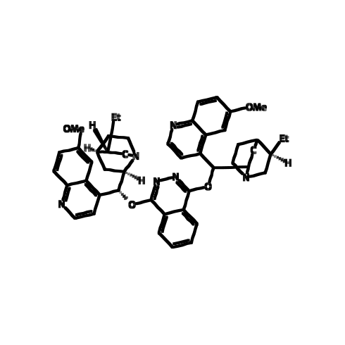 CC[C@H]1CN2CCC1CC2C(Oc1nnc(O[C@H](c2ccnc3ccc(OC)cc23)[C@H]2C[C@H]3CCN2C[C@H]3CC)c2ccccc12)c1ccnc2ccc(OC)cc12